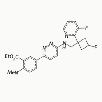 CCOC(=O)c1cc(-c2ccc(NCC3(c4ncccc4F)CC(F)C3)nn2)ccc1NC